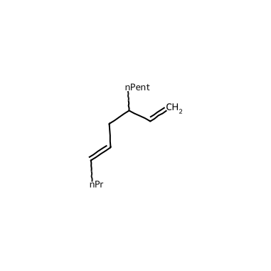 C=CC(CC=CCCC)CCCCC